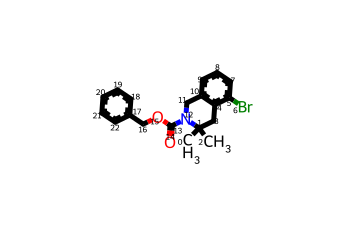 CC1(C)Cc2c(Br)cccc2CN1C(=O)OCc1ccccc1